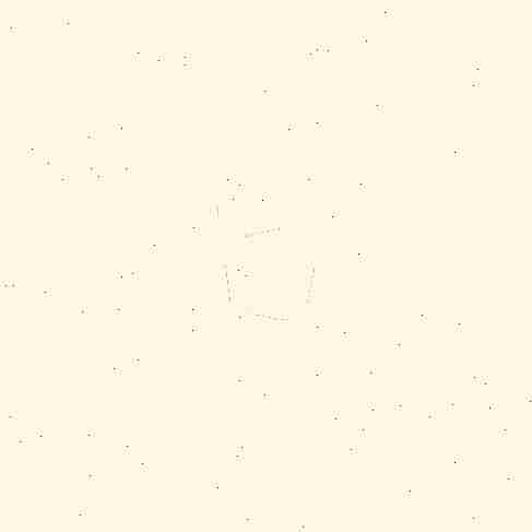 CC1C/C=C\CCCCC1